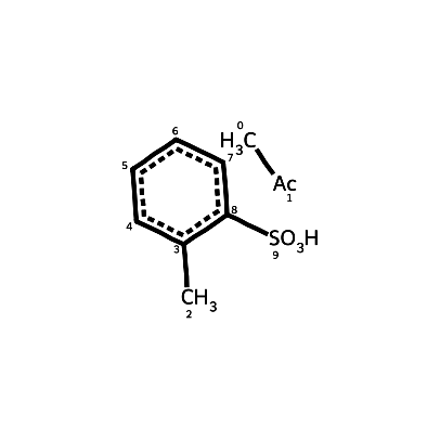 CC(C)=O.Cc1ccccc1S(=O)(=O)O